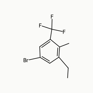 CCc1cc(Br)cc(C(F)(F)F)c1C